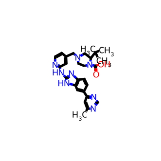 Cc1cc(-c2ccc3nc(Nc4cc(CN5CCN(C(=O)O)C(C(C)(C)C)C5)ccn4)[nH]c3c2)ncn1